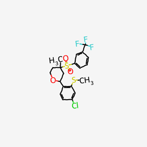 CSc1cc(Cl)ccc1C1CC(C)(S(=O)(=O)c2cccc(C(F)(F)F)c2)CCO1